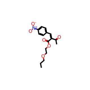 CCCOCCOC(=O)C(=Cc1ccc([N+](=O)[O-])cc1)C(C)=O